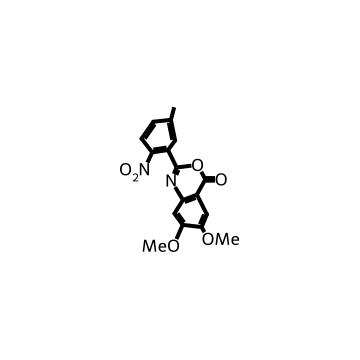 COc1cc2nc(-c3cc(C)ccc3[N+](=O)[O-])oc(=O)c2cc1OC